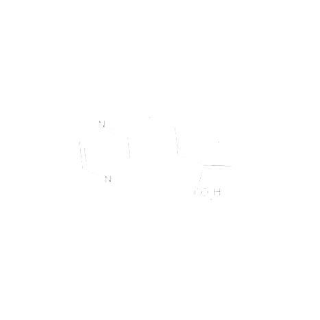 O=C(O)C1(c2ccc3nccnc3c2)CC1